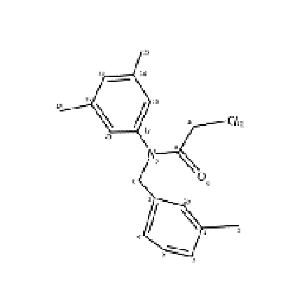 Cc1cccc(CN(C(=O)CCl)c2cc(C)cc(C)c2)c1